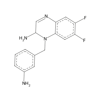 Nc1cccc(CN2c3cc(F)c(F)cc3N=CC2N)c1